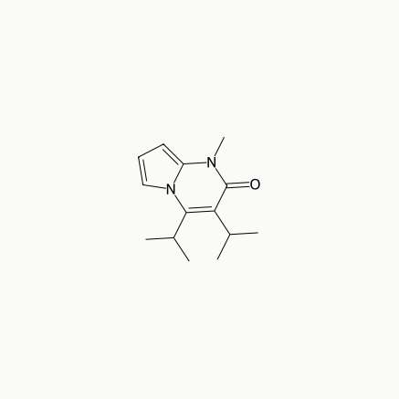 CC(C)c1c(C(C)C)n2cccc2n(C)c1=O